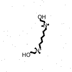 C[N+](C)(CCO)CCCCCCC[N+](C)(C)CCO